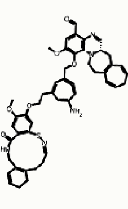 COc1cc2c(cc1OCCC1=CC(COc3cc(/N=C\[C@@H]4CC5=C(C=CCC=C5)CCN4C)c(C=O)cc3OC)=C=CC(N)=C1)SN=CCCC1=C(C=CCC1)CNC2=O